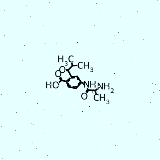 CC(C)C(=O)c1cc(NC(=O)[C@H](C)N)ccc1C(=O)O